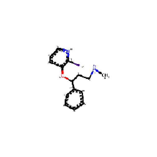 CNCCC(Oc1cccnc1I)c1ccccc1